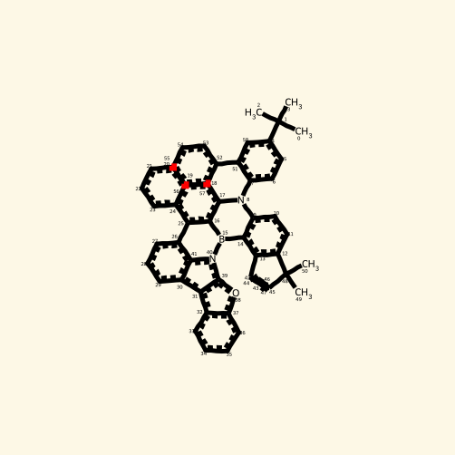 CC(C)(C)c1ccc(N2c3ccc4c(c3B3c5c2cc2ccccc2c5-c2cccc5c6c7ccccc7oc6n3c25)-c2ccccc2C4(C)C)c(-c2ccccc2)c1